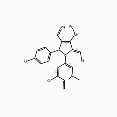 C=C/C(Cl)=C\C(=C/N(C)C)N1/C(=C\CC)C(NC(C)C)=C(C=N)C1c1ccc(Cl)cc1